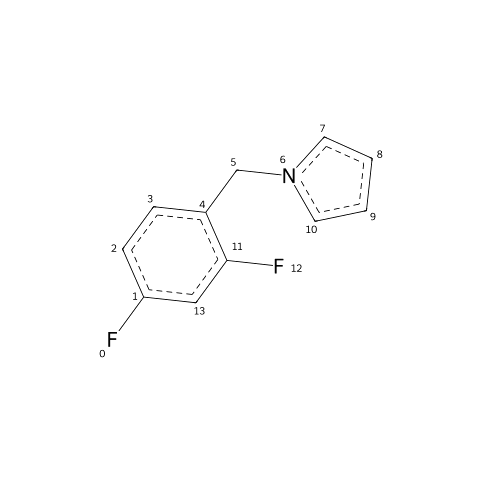 Fc1ccc(Cn2cccc2)c(F)c1